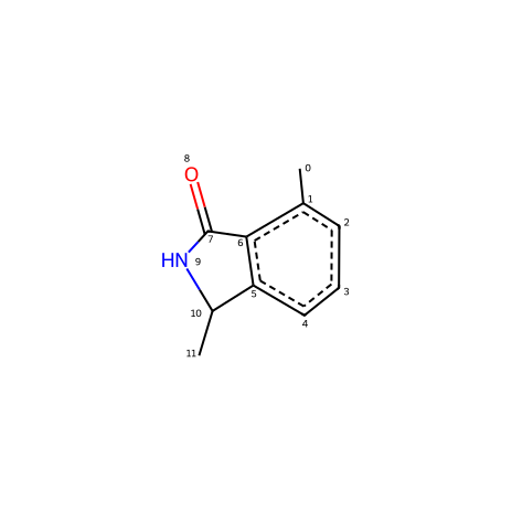 Cc1cccc2c1C(=O)NC2C